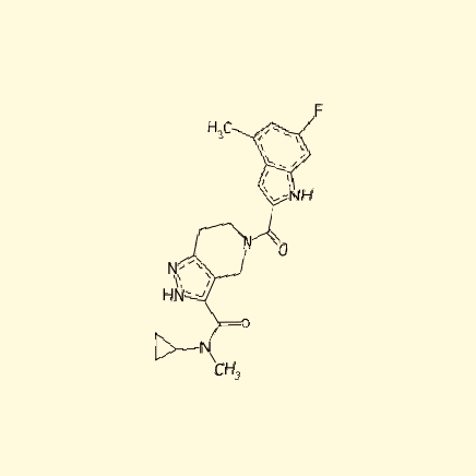 Cc1cc(F)cc2[nH]c(C(=O)N3CCc4n[nH]c(C(=O)N(C)C5CC5)c4C3)cc12